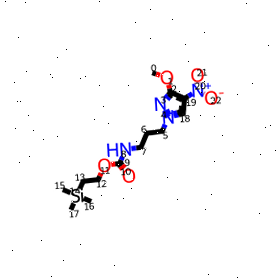 COc1nn(CCCNC(=O)OCC[Si](C)(C)C)cc1[N+](=O)[O-]